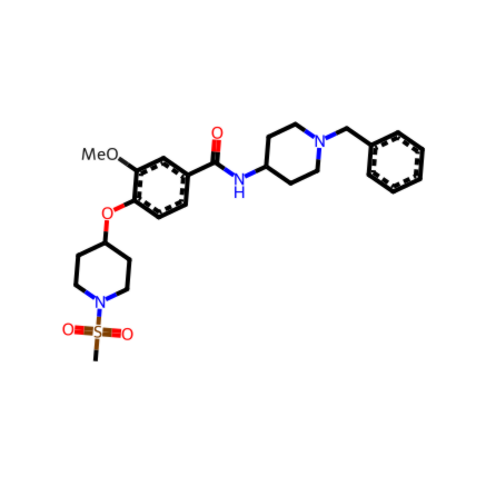 COc1cc(C(=O)NC2CCN(Cc3ccccc3)CC2)ccc1OC1CCN(S(C)(=O)=O)CC1